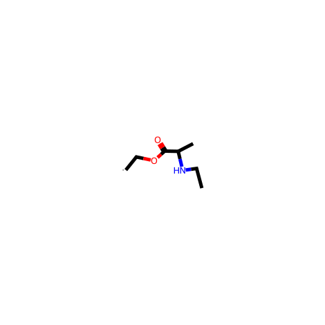 [CH2]COC(=O)C(C)NCC